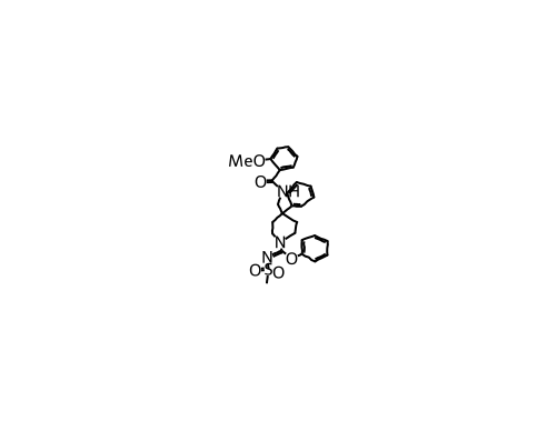 COc1ccccc1C(=O)NCC1(c2ccccc2)CCN(/C(=N/S(C)(=O)=O)Oc2ccccc2)CC1